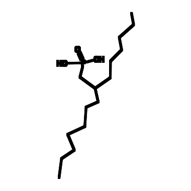 CCCCCCCC(CCCCCC)CP(=O)(O)O